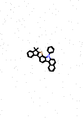 CC1(C)c2ccccc2-c2c1sc1c2ccc2c3c4ccccc4ccc3n(-c3ccccc3)c21